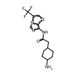 NC1CCC(CC(=O)Nc2ncn3c(C(F)(F)F)csc23)CC1